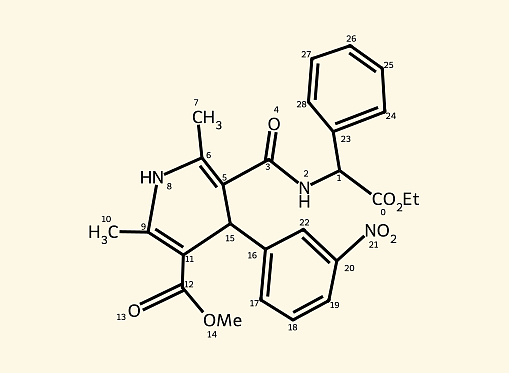 CCOC(=O)C(NC(=O)C1=C(C)NC(C)=C(C(=O)OC)C1c1cccc([N+](=O)[O-])c1)c1ccccc1